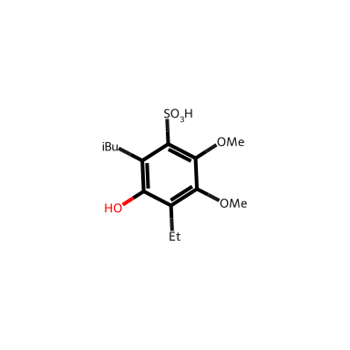 CCc1c(O)c(C(C)CC)c(S(=O)(=O)O)c(OC)c1OC